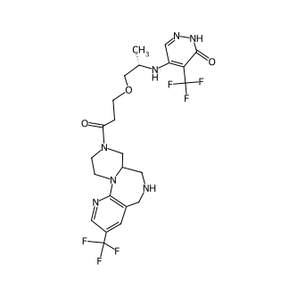 C[C@@H](COCCC(=O)N1CCN2c3ncc(C(F)(F)F)cc3CNCC2C1)Nc1cn[nH]c(=O)c1C(F)(F)F